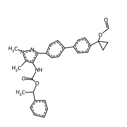 Cc1c(NC(=O)OC(C)c2ccccc2)c(-c2ccc(-c3ccc(C4(OC=O)CC4)cc3)cc2)nn1C